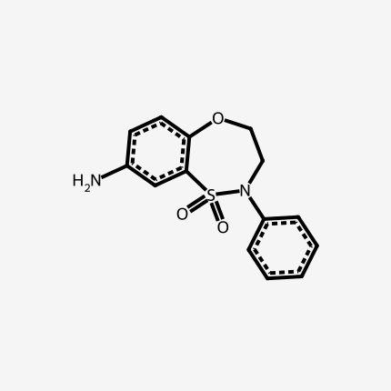 Nc1ccc2c(c1)S(=O)(=O)N(c1ccccc1)CCO2